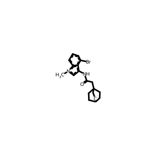 Cn1cc(NC(=O)CC23CCC(CC2)CC3)c2c(Br)cccc21